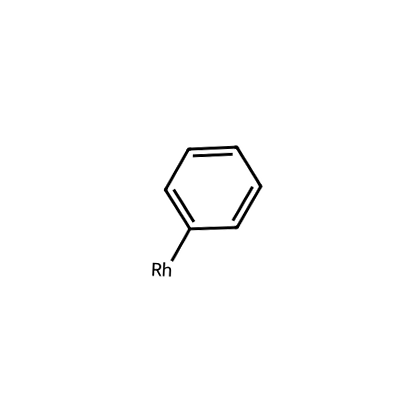 [Rh][c]1ccccc1